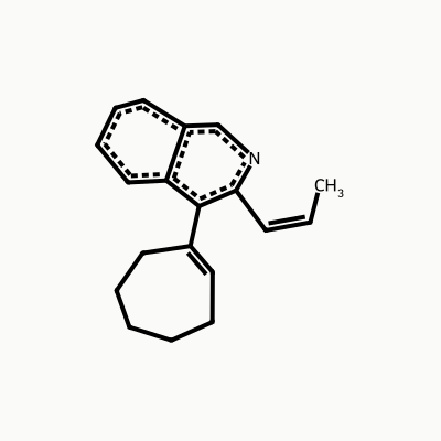 C/C=C\c1ncc2ccccc2c1C1=CCCCCC1